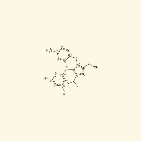 CC(C)c1nc(CO)n(Cc2ccc(N)cc2)c1Sc1cc(F)cc(F)c1